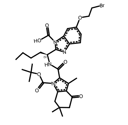 CCCC[C@H](NC(=O)c1c(C)c2c(n1C(=O)OC(C)(C)C)CC(C)(C)CC2=O)c1nc2ccc(OCCBr)cc2n1C(=O)O